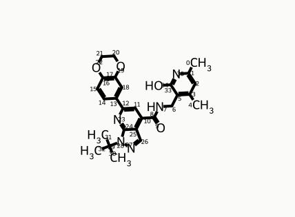 Cc1cc(C)c(CNC(=O)c2cc(-c3ccc4c(c3)OCCO4)nc3c2cnn3C(C)(C)C)c(O)n1